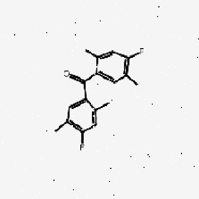 Cc1cc(C(=O)c2cc(C)c(F)cc2C)c(C)cc1F